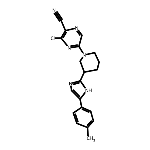 Cc1ccc(-c2cnc(C3CCCN(c4cnc(C#N)c(Cl)n4)C3)[nH]2)cc1